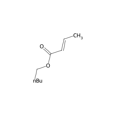 CC=CC(=O)OCCCCC